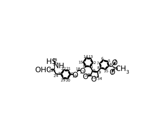 CS(=O)(=O)c1cccc(C2=C(c3ccccc3OCOc3ccc(CC(C=O)NS)cc3)C(=O)OC2)c1